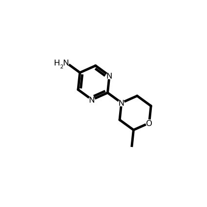 CC1CN(c2ncc(N)cn2)CCO1